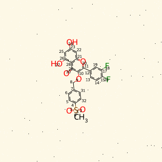 CS(=O)(=O)c1ccc(COc2c(-c3ccc(F)c(F)c3)oc3cc(O)cc(O)c3c2=O)cc1